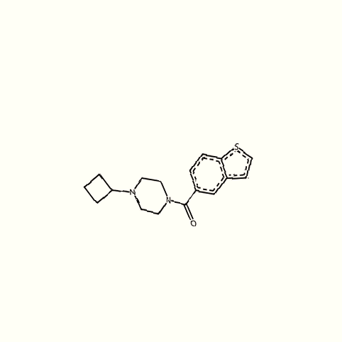 O=C(c1ccc2sc[c]c2c1)N1CCN(C2CCC2)CC1